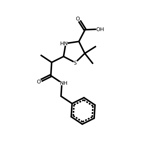 CC(C(=O)NCc1ccccc1)C1NC(C(=O)O)C(C)(C)S1